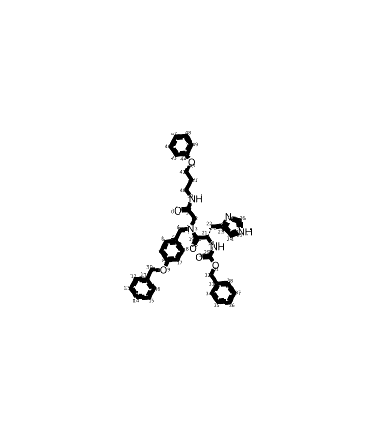 O=C(CN(Cc1ccc(OCc2ccccc2)cc1)C(=O)[C@H](Cc1c[nH]cn1)NC(=O)OCc1ccccc1)NCCCOc1ccccc1